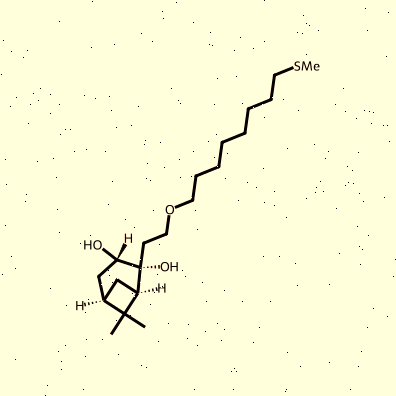 CSCCCCCCCCOCC[C@@]1(O)[C@@H]2C[C@H](C[C@@H]1O)C2(C)C